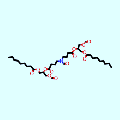 CCCCCCCCC(=O)OCC(COC=O)OC(=O)CCCN(C=O)CCCC(=O)OC(COC=O)COC(=O)CCCCCCCC